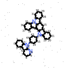 c1ccc2c(c1)c1cccnc1n2-c1ccc(-n2c3ccccc3c3cc4c5ccccc5n5c6ccccc6c(c32)c45)cc1